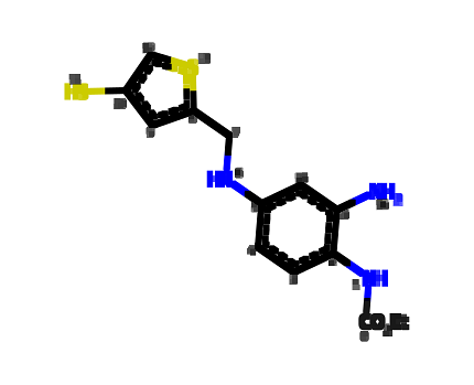 CCOC(=O)Nc1ccc(NCc2cc(S)cs2)cc1N